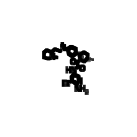 CCc1cc(NC(=O)C(=O)N2C[C@@H](C)CC[C@@H]2c2ccc(N(C)CCC3CCCCN3C)cc2)cnc1N